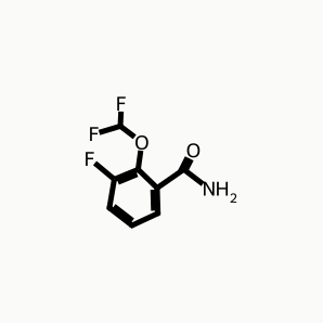 NC(=O)c1cccc(F)c1OC(F)F